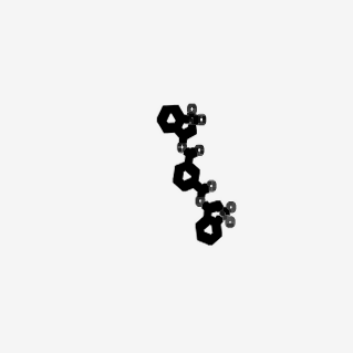 O=C(OC1=CS(=O)(=O)c2ccccc21)c1cccc(C(=O)OC2=CS(=O)(=O)c3ccccc32)c1